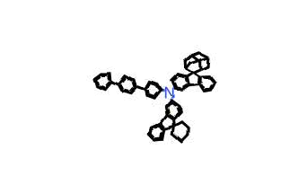 c1ccc(-c2ccc(-c3ccc(N(c4ccc5c(c4)-c4ccccc4C54CCCCC4)c4ccc5c(c4)-c4ccccc4C54C5CC6CC(C5)CC4C6)cc3)cc2)cc1